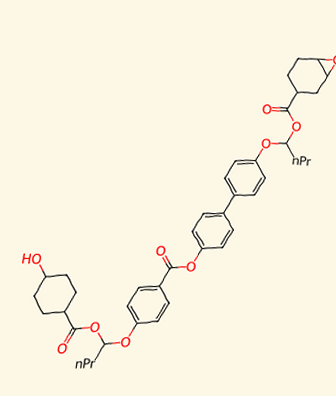 CCCC(OC(=O)C1CCC(O)CC1)Oc1ccc(C(=O)Oc2ccc(-c3ccc(OC(CCC)OC(=O)C4CCC5OC5C4)cc3)cc2)cc1